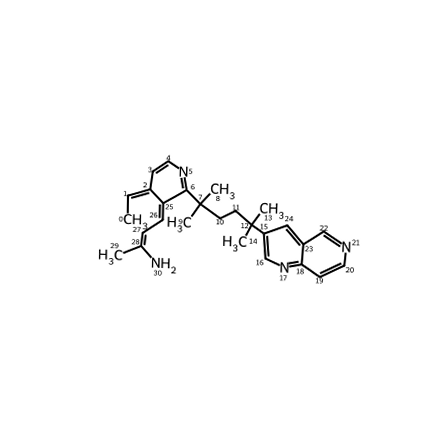 C/C=c1/ccnc(C(C)(C)CCC(C)(C)c2cnc3ccncc3c2)/c1=C/C=C(/C)N